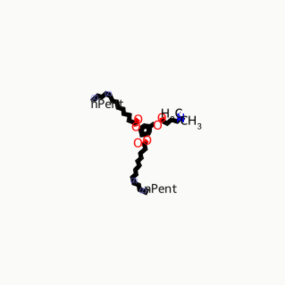 CCCCC/C=C\C/C=C\CCCCCCCC(=O)Oc1cc(COC(=O)CCCN(C)C)cc(OC(=O)CCCCCCC/C=C\C/C=C\CCCCC)c1